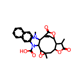 CC1C(=O)OC2CC3(C)OC3C(N(C(=O)O)c3ccc4ccccc4c3)C(N(C)C)C3=CC(OC3=O)C21